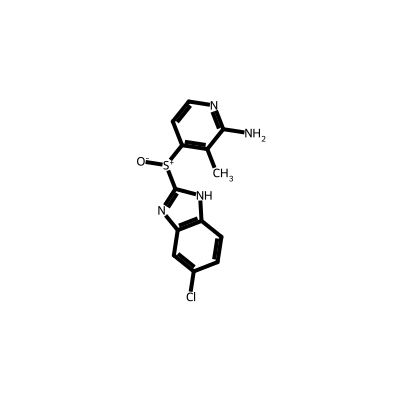 Cc1c([S+]([O-])c2nc3cc(Cl)ccc3[nH]2)ccnc1N